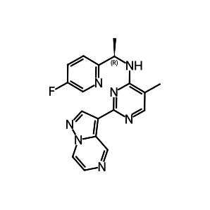 Cc1cnc(-c2cnn3ccncc23)nc1N[C@H](C)c1ccc(F)cn1